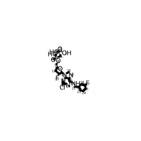 O=P(O)(O)CP(=O)(O)OC[C@@H]1C[C@H](F)[C@H](n2cnc3c(NCc4cccc(F)c4)nc(Cl)nc32)O1